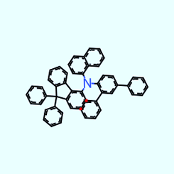 c1ccc(-c2ccc(N(c3cccc4c3-c3ccccc3C4(c3ccccc3)c3ccccc3)c3cccc4ccccc34)c(-c3ccccc3)c2)cc1